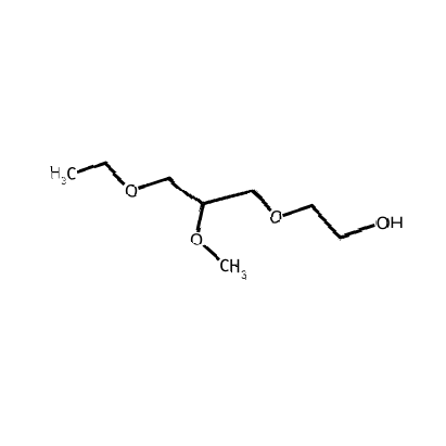 CCOCC(COCCO)OC